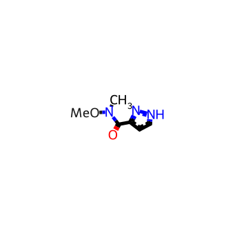 CON(C)C(=O)c1cc[nH]n1